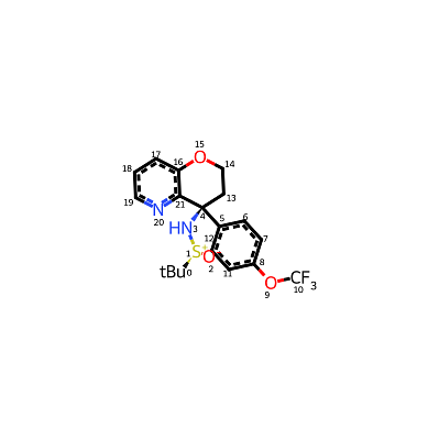 CC(C)(C)[S@+]([O-])N[C@]1(c2ccc(OC(F)(F)F)cc2)CCOc2cccnc21